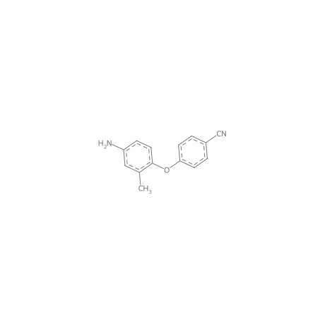 Cc1cc(N)ccc1Oc1ccc(C#N)cc1